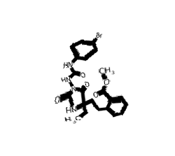 CCC1(CCc2ccccc2C(=O)OC)NC(=O)N(NC(=O)Nc2ccc(Br)cc2)C1=O